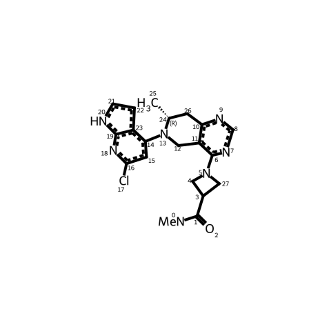 CNC(=O)C1CN(c2ncnc3c2CN(c2cc(Cl)nc4[nH]ccc24)[C@H](C)C3)C1